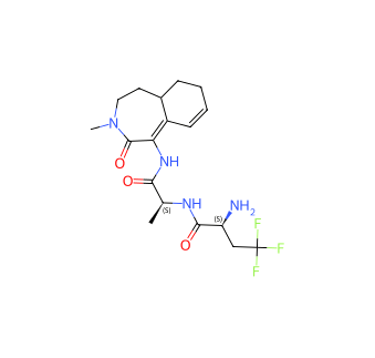 C[C@H](NC(=O)[C@@H](N)CC(F)(F)F)C(=O)NC1=C2C=CCCC2CCN(C)C1=O